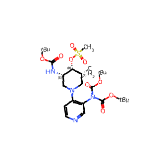 C[C@@H]1CN(c2ccncc2N(C(=O)OC(C)(C)C)C(=O)OC(C)(C)C)C[C@H](NC(=O)OC(C)(C)C)[C@@H]1OS(C)(=O)=O